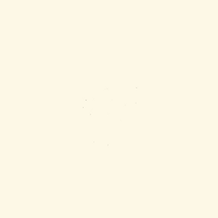 CCCCCCCCC1(C2CCCCCC2=O)CCCCCC1